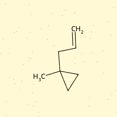 C=CCC1(C)CC1